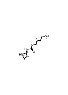 O=C(CCOCCO)NC1CCN1